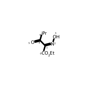 CCOC(=O)/C(=N/O)C(=O)C(C)C